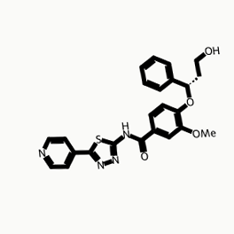 COc1cc(C(=O)Nc2nnc(-c3ccncc3)s2)ccc1O[C@@H](CCO)c1ccccc1